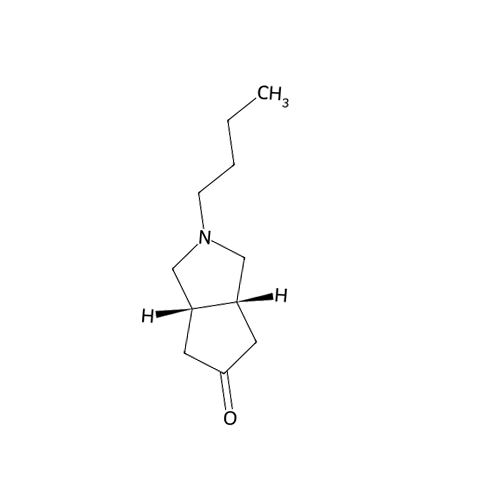 CCCCN1C[C@H]2CC(=O)C[C@H]2C1